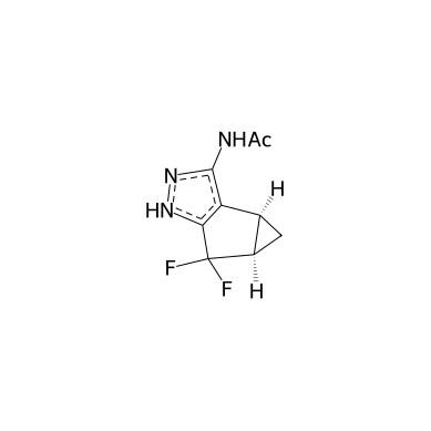 CC(=O)Nc1n[nH]c2c1[C@H]1C[C@H]1C2(F)F